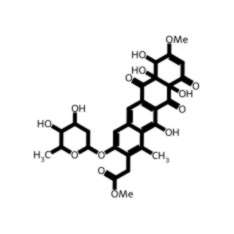 COC(=O)Cc1c(OC2CC(O)C(O)C(C)O2)cc2cc3c(c(O)c2c1C)C(=O)C1(O)C(=O)C=C(OC)C(O)C1(O)C3=O